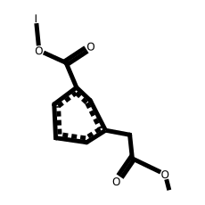 COC(=O)Cc1cccc(C(=O)OI)c1